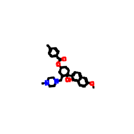 COc1ccc2cc(C3(O)CCC(OC(=O)c4ccc(C)cc4)CC3CN3CCN(C)CC3)ccc2c1